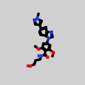 COc1cc(-n2cnc3cc(-c4cnn(C)c4)ccc32)cc(OC)c1C(=O)NCCCO